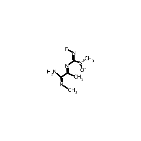 C\N=C(N)/C(C)=N/C(=N\F)[S+](C)[O-]